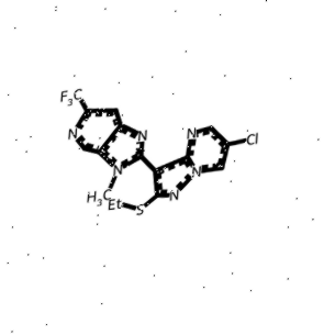 CCSc1nn2cc(Cl)cnc2c1-c1nc2cc(C(F)(F)F)ncc2n1C